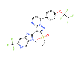 CCS(=O)(=O)c1nn2c(-c3ccc(OC(F)(F)C(F)F)cc3)ccnc2c1-c1nc2cc(C(F)(F)F)ncc2n1C